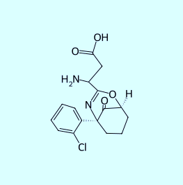 NC(CC(=O)O)C1=N[C@]2(c3ccccc3Cl)CCC[C@H](O1)C2=O